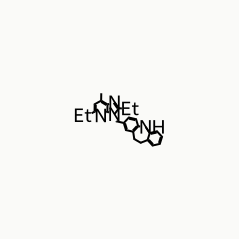 CCc1cc(C)c2nc(CC)n(Cc3ccc4c(c3)CCc3ccccc3N4)c2n1